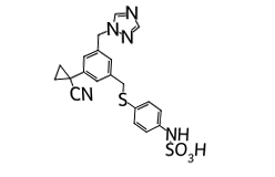 N#CC1(c2cc(CSc3ccc(NS(=O)(=O)O)cc3)cc(Cn3cncn3)c2)CC1